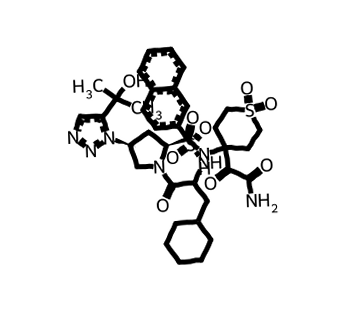 CC(C)(O)c1cnnn1[C@H]1C[C@@H](C(=O)NC2(C(=O)C(N)=O)CCS(=O)(=O)CC2)N(C(=O)C(CC2CCCCC2)NS(=O)(=O)c2ccc3ccccc3c2)C1